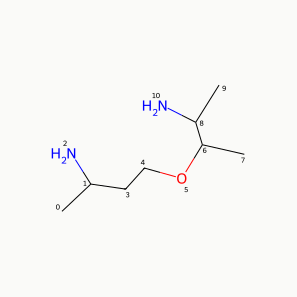 CC(N)CCOC(C)C(C)N